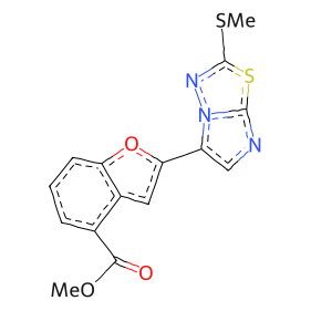 COC(=O)c1cccc2oc(-c3cnc4sc(SC)nn34)cc12